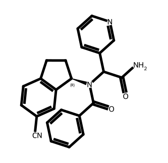 N#Cc1ccc2c(c1)[C@H](N(C(=O)c1ccccc1)C(C(N)=O)c1cccnc1)CC2